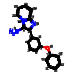 Nc1c(-c2cccc(Oc3ccccc3)c2)nc2ccccn12